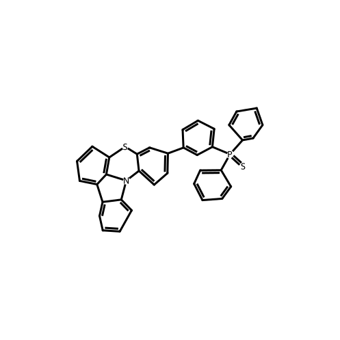 S=P(c1ccccc1)(c1ccccc1)c1cccc(-c2ccc3c(c2)Sc2cccc4c5ccccc5n-3c24)c1